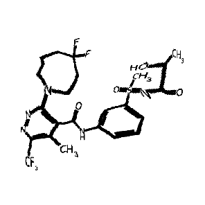 Cc1c(C(F)(F)F)nnc(N2CCCC(F)(F)CC2)c1C(=O)Nc1cccc(S(C)(=O)=NC(=O)C(C)O)c1